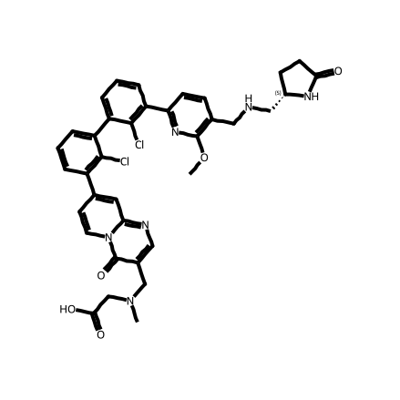 COc1nc(-c2cccc(-c3cccc(-c4ccn5c(=O)c(CN(C)CC(=O)O)cnc5c4)c3Cl)c2Cl)ccc1CNC[C@@H]1CCC(=O)N1